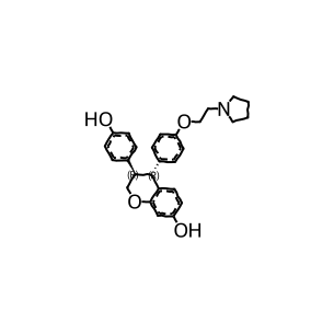 Oc1ccc([C@@H]2COc3cc(O)ccc3[C@H]2c2ccc(OCCN3CCCC3)cc2)cc1